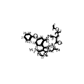 CCOC(C)(C)C=C(C#N)C(=O)NC(C)Cn1nc(-c2ccc(Oc3ccccc3)cc2F)c2c(N)ncnc21